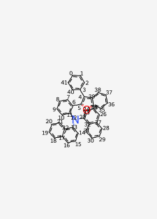 c1ccc(-c2c(-c3ccccc3N(c3cccc4ccccc34)c3cccc4ccccc34)oc3ccccc23)cc1